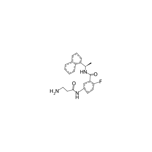 C[C@@H](NC(=O)c1cc(NC(=O)CCN)ccc1F)c1cccc2ccccc12